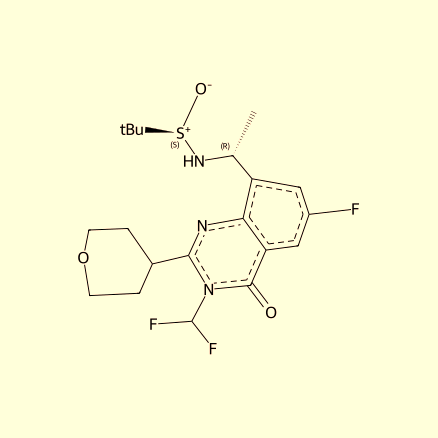 C[C@@H](N[S@+]([O-])C(C)(C)C)c1cc(F)cc2c(=O)n(C(F)F)c(C3CCOCC3)nc12